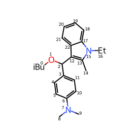 CCC(C)OC(c1ccc(N(C)C)cc1)c1c(C)n(CC)c2ccccc12